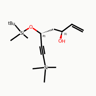 C=C[C@@H](O)C[C@H](C#C[Si](C)(C)C)O[Si](C)(C)C(C)(C)C